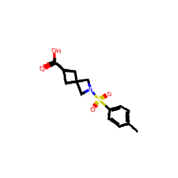 Cc1ccc(S(=O)(=O)N2CC3(CC(C(=O)O)C3)C2)cc1